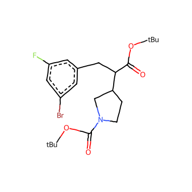 CC(C)(C)OC(=O)C(Cc1cc(F)cc(Br)c1)C1CCN(C(=O)OC(C)(C)C)C1